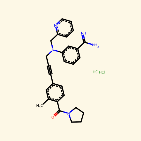 Cc1cc(C#CCN(Cc2ccccn2)c2cccc(C(=N)N)c2)ccc1C(=O)N1CCCC1.Cl.Cl